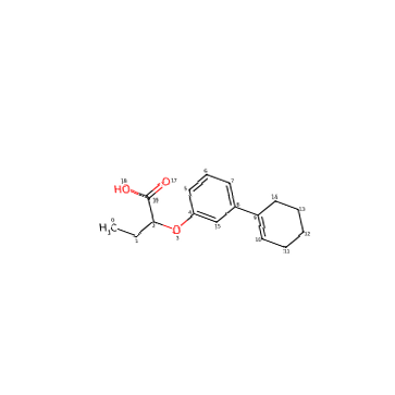 CCC(Oc1cccc(C2=CCCCC2)c1)C(=O)O